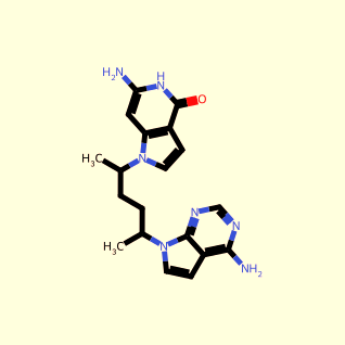 CC(CCC(C)n1ccc2c(N)ncnc21)n1ccc2c(=O)[nH]c(N)cc21